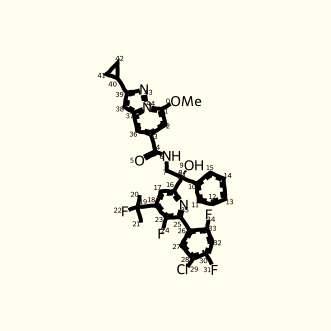 COc1cc(C(=O)NC[C@@](O)(c2ccccc2)c2cc(C(C)(C)F)c(F)c(-c3cc(Cl)c(F)cc3F)n2)cc2cc(C3CC3)nn12